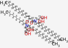 CCCCCCCCC=CCC(=O)N(CCCCCCCCCCCCCCCC)CC(O)CO.CCCCCCCCCCCCC=CCCC(=O)N(CCCCCCCCCCCCCCCC)CC(O)CO